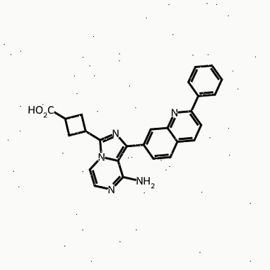 Nc1nccn2c(C3CC(C(=O)O)C3)nc(-c3ccc4ccc(-c5ccccc5)nc4c3)c12